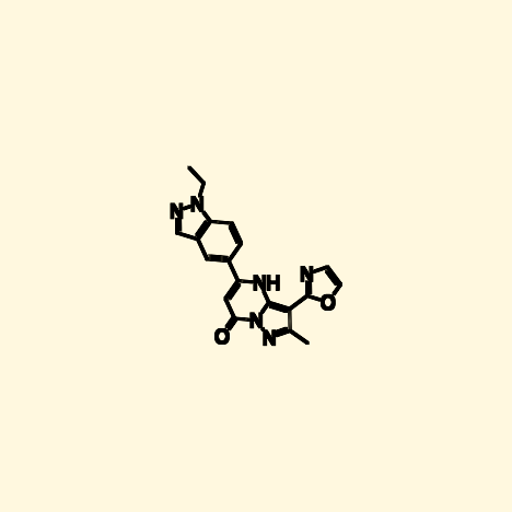 CCn1ncc2cc(-c3cc(=O)n4nc(C)c(-c5ncco5)c4[nH]3)ccc21